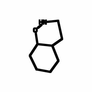 C1CCC2ONCCC2C1